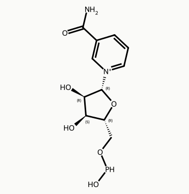 NC(=O)c1ccc[n+]([C@@H]2O[C@H](COPO)[C@@H](O)[C@H]2O)c1